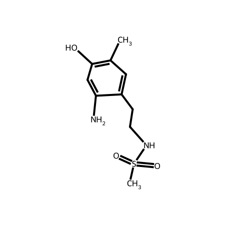 Cc1cc(CCNS(C)(=O)=O)c(N)cc1O